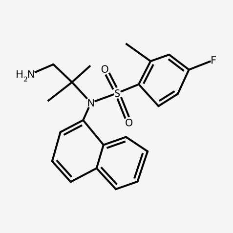 Cc1cc(F)ccc1S(=O)(=O)N(c1cccc2ccccc12)C(C)(C)CN